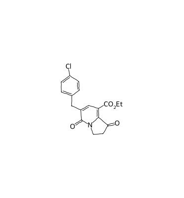 CCOC(=O)c1cc(Cc2ccc(Cl)cc2)c(=O)n2c1C(=O)CC2